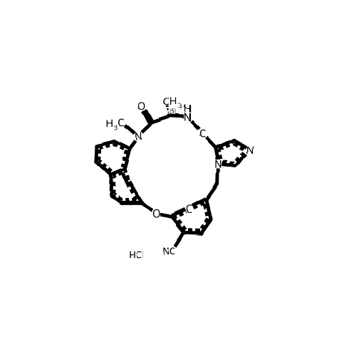 C[C@@H]1NCc2cncn2Cc2ccc(C#N)c(c2)Oc2ccc3cccc(c3c2)N(C)C1=O.Cl